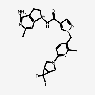 Cc1cc2c(c(N)n1)CC[C@H]2NC(=O)c1cnn(Cc2ccc(N3CC4C(C3)C4(F)F)nc2C)c1